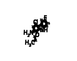 CCCOc1c(N)cc(Cl)c2c1[nH]c1ccc(F)cc12